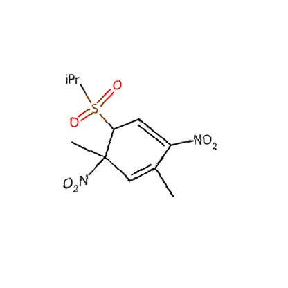 CC1=CC(C)([N+](=O)[O-])C(S(=O)(=O)C(C)C)C=C1[N+](=O)[O-]